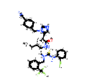 CC[C@H](C)[C@@H](CN(Cc1ccccc1C(F)(F)F)C(=S)Nc1ccccc1F)NC(=O)Cc1cncn1Cc1ccc(C#N)cc1